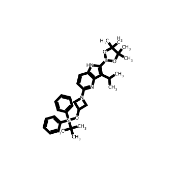 CC(C)c1c(B2OC(C)(C)C(C)(C)O2)[nH]c2ccc(N3CC(O[Si](c4ccccc4)(c4ccccc4)C(C)(C)C)C3)nc12